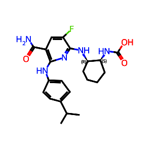 CC(C)c1ccc(Nc2nc(N[C@@H]3CCCC[C@@H]3NC(=O)O)c(F)cc2C(N)=O)cc1